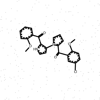 COc1ccccc1C(=O)c1[nH]ccc1-n1cccc1C(=O)c1cc(Cl)ccc1OC